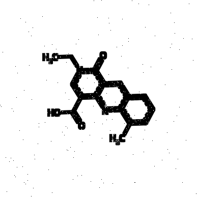 CCn1cc(C(=O)O)c2nc3c(C)cccc3cc2c1=O